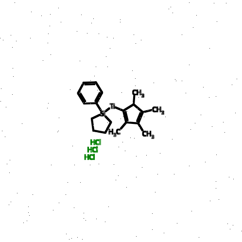 CC1=C(C)C(C)[C]([Ti][Si]2(c3ccccc3)CCCC2)=C1C.Cl.Cl.Cl